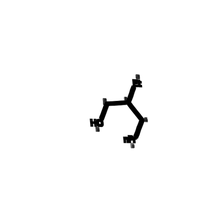 [CH2]CC([CH]O)CCCC